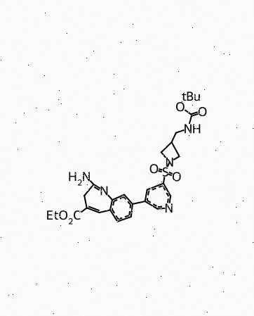 CCOC(=O)C1=Cc2ccc(-c3cncc(S(=O)(=O)N4CC(CNC(=O)OC(C)(C)C)C4)c3)cc2N=C(N)C1